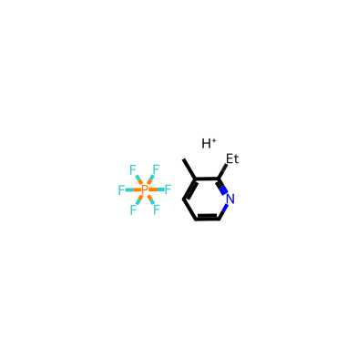 CCc1ncccc1C.F[P-](F)(F)(F)(F)F.[H+]